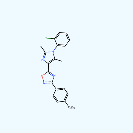 COc1ccc(-c2noc(-c3nc(C)n(-c4ccccc4Cl)c3C)n2)cc1